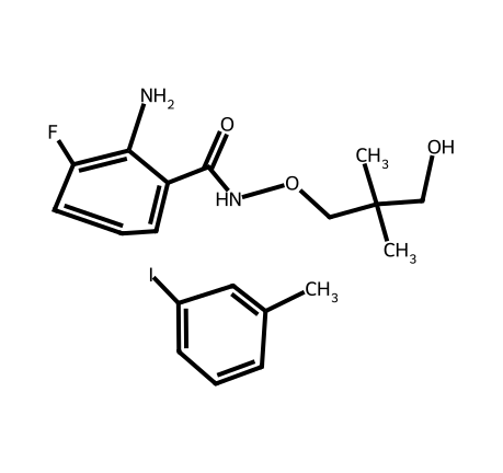 CC(C)(CO)CONC(=O)c1cccc(F)c1N.Cc1cccc(I)c1